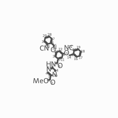 COC(=O)c1cnc(NC(=O)c2cc(OCc3ccccc3C#N)cc(OCc3ccccc3C#N)c2)cn1